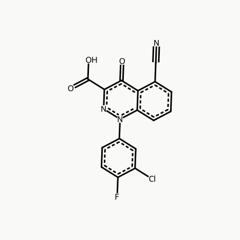 N#Cc1cccc2c1c(=O)c(C(=O)O)nn2-c1ccc(F)c(Cl)c1